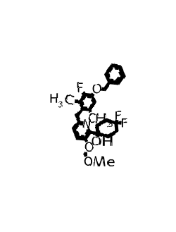 COCOc1ccc(Cc2c(C)cc(OCc3ccccc3)c(F)c2C)nc1C1(O)CCC(F)(F)CC1